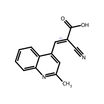 Cc1cc(/C=C(\C#N)C(=O)O)c2ccccc2n1